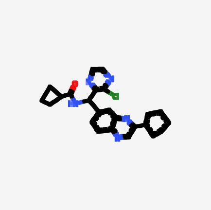 O=C(NC(c1ccc2ncc(-c3ccccc3)nc2c1)c1nccnc1Cl)C1CCC1